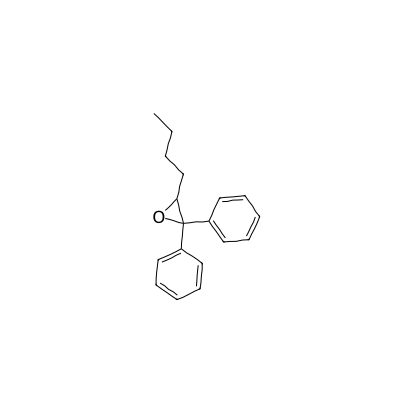 CCCCC1OC1(c1ccccc1)c1ccccc1